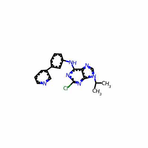 CC(C)n1cnc2c(Nc3cccc(-c4cccnc4)c3)nc(Cl)nc21